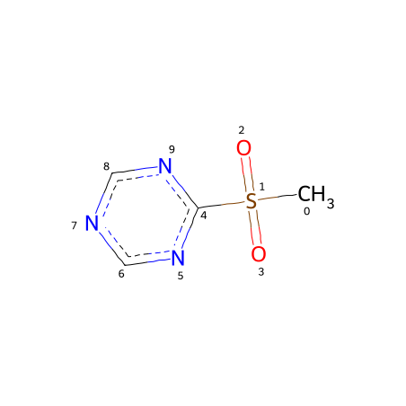 CS(=O)(=O)c1ncncn1